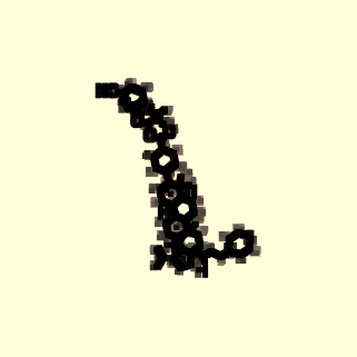 C=C(C)[C@@H]1CC[C@]2(NCCN3CCSCC3)CC[C@]3(C)[C@H](CC[C@@H]4[C@@]5(C)CC=C(C6=CCC(C(=O)OC(Oc7cccc(C#N)n7)[Si](C)(C)C(C)(C)C)CC6)C(C)(C)[C@@H]5CC[C@]43C)[C@@H]12